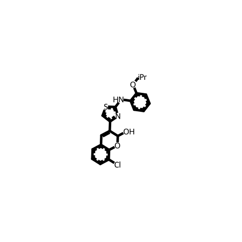 CC(C)Oc1ccccc1Nc1nc(C2=Cc3cccc(Cl)c3OC2O)cs1